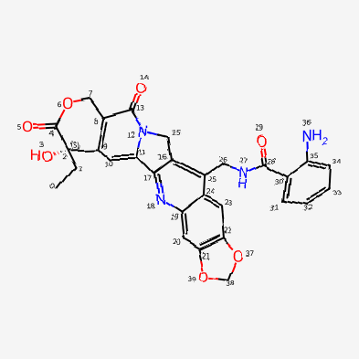 CC[C@@]1(O)C(=O)OCc2c1cc1n(c2=O)Cc2c-1nc1cc3c(cc1c2CNC(=O)c1ccccc1N)OCO3